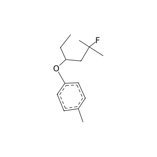 CCC(CC(C)(C)F)Oc1ccc(C)cc1